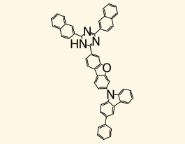 c1ccc(-c2ccc3c(c2)c2ccccc2n3-c2ccc3c(c2)oc2cc(C4=NC(c5ccc6ccccc6c5)=NC(c5ccc6ccccc6c5)N4)ccc23)cc1